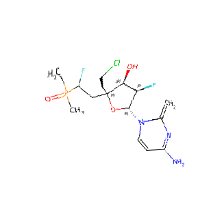 C=C1N=C(N)C=CN1[C@@H]1O[C@](CCl)(CC(F)P(C)(C)=O)[C@@H](O)[C@H]1F